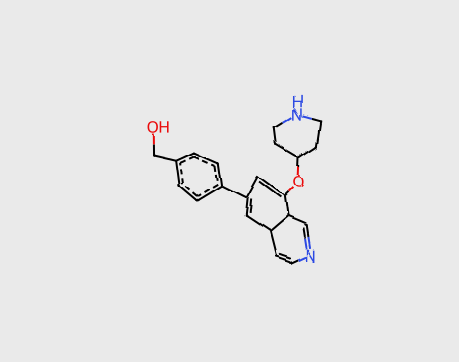 OCc1ccc(C2=CC3C=CN=CC3C(OC3CCNCC3)=C2)cc1